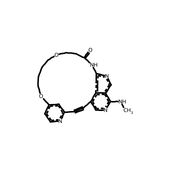 CNc1ncc2c3cc(ncc13)NC(=O)CCOCCCCOc1ccnc(c1)C#C2